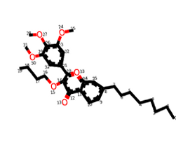 CCCCCCCCc1ccc2c(=O)c(OCCCC)c(-c3cc(OC)c(OC)c(OC)c3)oc2c1